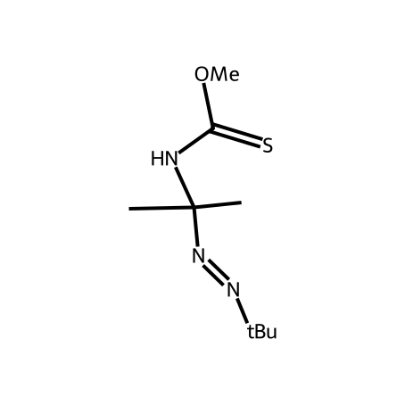 COC(=S)NC(C)(C)N=NC(C)(C)C